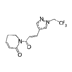 O=C1C=CCCN1C(=O)/C=C/c1cnn(CC(F)(F)F)c1